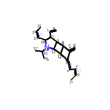 C=CC1C2C3C(=C)/C(=C\C=C/C)C3C2N(C(C)C)C1/C=C\C